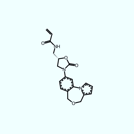 C=CC(=O)NC[C@H]1CN(c2ccc3c(c2)-n2cccc2COC3)C(=O)O1